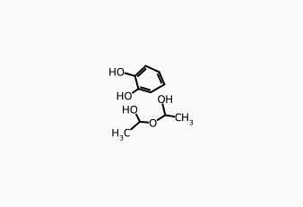 CC(O)OC(C)O.Oc1ccccc1O